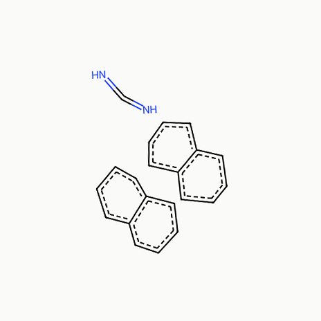 N=C=N.c1ccc2ccccc2c1.c1ccc2ccccc2c1